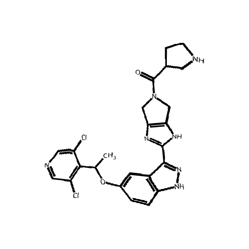 CC(Oc1ccc2[nH]nc(-c3nc4c([nH]3)CN(C(=O)C3CCNC3)C4)c2c1)c1c(Cl)cncc1Cl